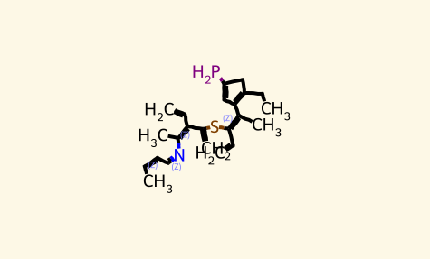 C=C/C(SC(=C)\C(C=C)=C(C)/N=C\C=C/C)=C(\C)C1=C(CC)CC(P)=C1